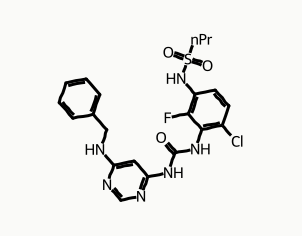 CCCS(=O)(=O)Nc1ccc(Cl)c(NC(=O)Nc2cc(NCc3ccccc3)ncn2)c1F